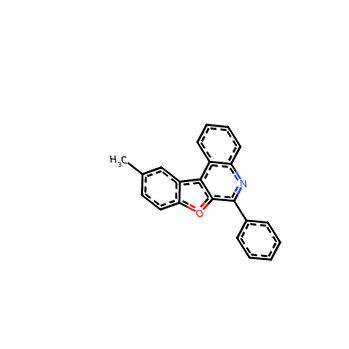 Cc1ccc2oc3c(-c4ccccc4)nc4ccccc4c3c2c1